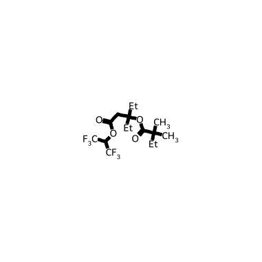 CCC(CC)(CC(=O)OC(C(F)(F)F)C(F)(F)F)OC(=O)C(C)(C)CC